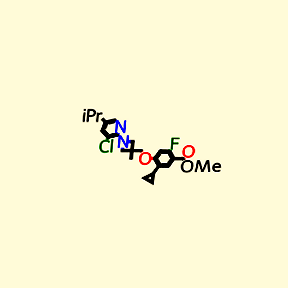 COC(=O)c1cc(C2CC2)c(OCC2(C)CN(c3ncc(C(C)C)cc3Cl)C2)cc1F